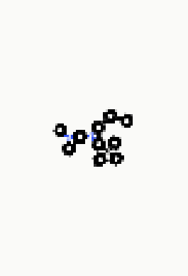 c1ccc(-c2cccc(-c3ccc4c(c3)c3cc([Si](c5ccccc5)(c5ccccc5)c5ccccc5)ccc3n4-c3ccc4c(c3)c3ccccc3n4-c3ccccc3)c2)cc1